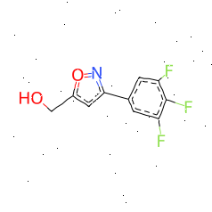 OCc1cc(-c2cc(F)c(F)c(F)c2)no1